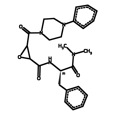 CN(C)C(=O)[C@H](Cc1ccccc1)NC(=O)C1OC1C(=O)N1CCN(c2ccccc2)CC1